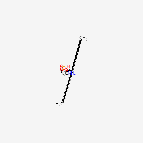 CCCCCCCCCCCCCCCCCCC(CCCCCCCCCCCCCCCCCC)CC(C)(N)O.COS(=O)(=O)O